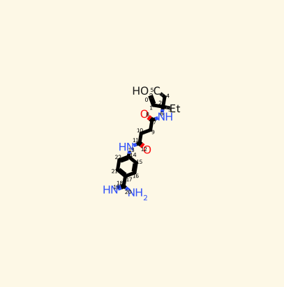 C=CC(CC)(CC(=O)O)NC(=O)CCC(=O)Nc1ccc(C(=N)N)cc1